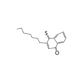 CCCCCCCC1=CC(=O)c2ccccc2C1=S